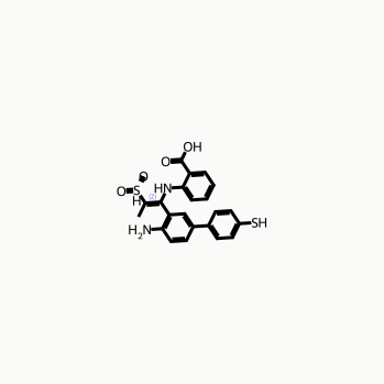 C/C(=C(/Nc1ccccc1C(=O)O)c1cc(-c2ccc(S)cc2)ccc1N)[SH](=O)=O